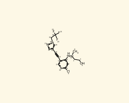 C[C@@H](CCO)Nc1cc(Cl)ncc1C#Cc1cnn(CC(F)(F)F)c1